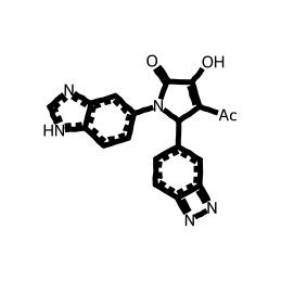 CC(=O)C1=C(O)C(=O)N(c2ccc3[nH]cnc3c2)C1c1ccc2c(c1)=NN=2